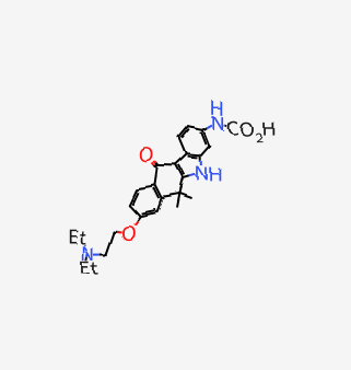 CCN(CC)CCOc1ccc2c(c1)C(C)(C)c1[nH]c3cc(NC(=O)O)ccc3c1C2=O